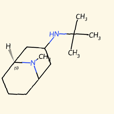 CN1C2CCC[C@H]1CC(NC(C)(C)C)C2